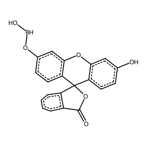 O=C1OC2(c3ccc(O)cc3Oc3cc(OBO)ccc32)c2ccccc21